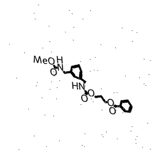 COC(=O)NCc1cccc(CNC(=O)OCCCOC(=O)c2ccccc2)c1